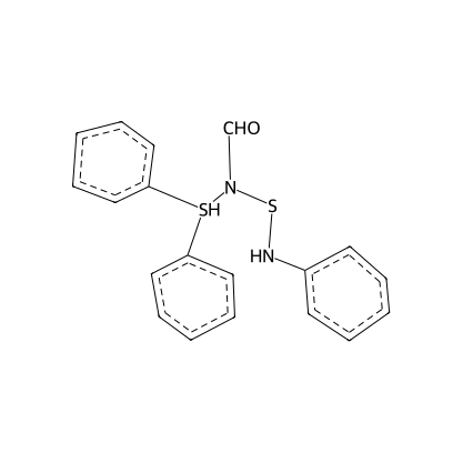 O=CN(SNc1ccccc1)[SH](c1ccccc1)c1ccccc1